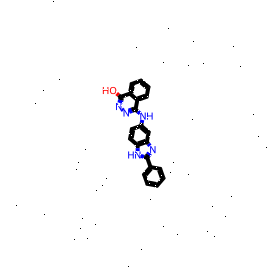 Oc1nnc(Nc2ccc3[nH]c(-c4ccccc4)nc3c2)c2ccccc12